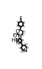 O=C1OC(c2ccc(F)cc2)CCN1c1cc(-c2ccncc2)n[nH]1